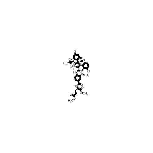 COC(=O)CC[C@@H](NC(=O)c1ccc(NC(=O)[C@@H]2N[C@@H](CC(C)(C)C)[C@](C#N)(c3ccc(Cl)cc3F)[C@H]2c2cccc(Cl)c2F)c(OC)c1)C(=O)OC